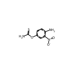 NC(=S)Oc1ccc(N)c([N+](=O)[O-])c1